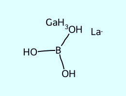 OB(O)O.[GaH3].[La]